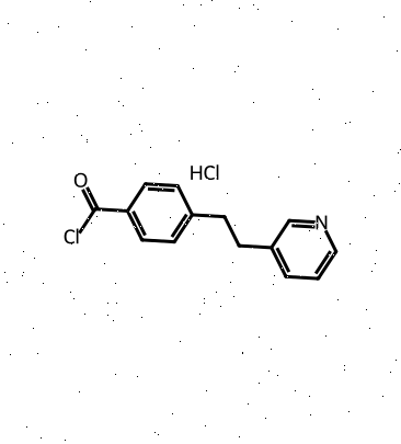 Cl.O=C(Cl)c1ccc(CCc2cccnc2)cc1